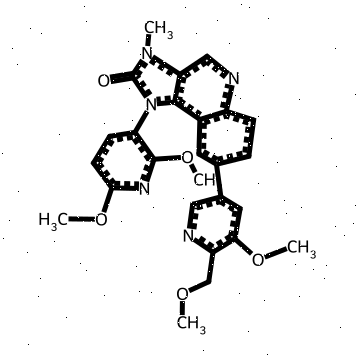 COCc1ncc(-c2ccc3ncc4c(c3c2)n(-c2ccc(OC)nc2OC)c(=O)n4C)cc1OC